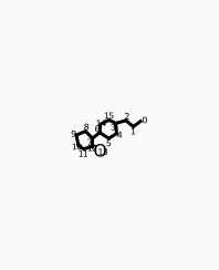 CCCC1CCC(C2CCCCC2=O)CC1